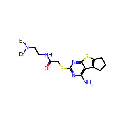 CCN(CC)CCNC(=O)CSc1nc(N)c2c3c(sc2n1)CCC3